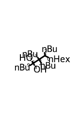 CCCCCCC(CCCC)C(CCCC)(CCCC)C(O)(O)CCCC